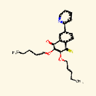 CCCCCOC1=C(OCCCCC)C(=S)c2ccc(-c3ccccn3)cc2C1=O